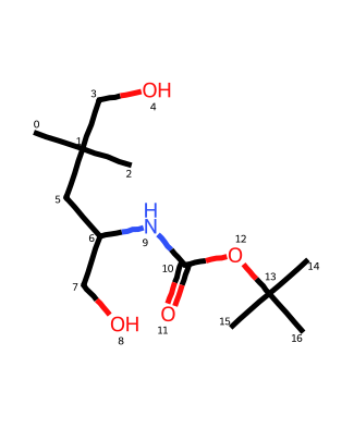 CC(C)(CO)CC(CO)NC(=O)OC(C)(C)C